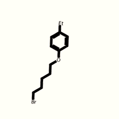 CCc1ccc(OCCCCCBr)cc1